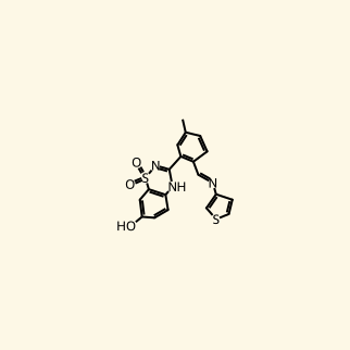 Cc1ccc(C=Nc2ccsc2)c(C2=NS(=O)(=O)c3cc(O)ccc3N2)c1